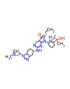 C=CCn1c(=O)c2cnc(Nc3ccc4c(c3)ncn4CCN(C)C)nc2n1-c1cccc(C(C)(C)O)n1